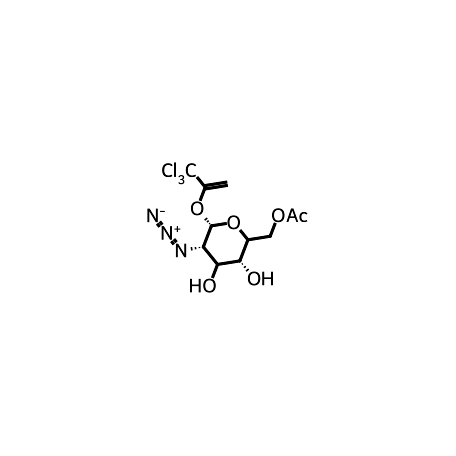 C=C(O[C@@H]1OC(COC(C)=O)[C@H](O)C(O)[C@@H]1N=[N+]=[N-])C(Cl)(Cl)Cl